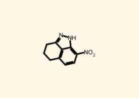 O=[N+]([O-])c1ccc2c3c(n[nH]c13)CCC2